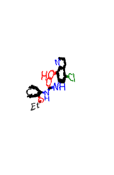 CCOc1ccccc1NC(=O)Nc1cc(Cl)c2cccnc2c1O